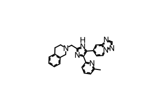 Cc1cccc(-c2nc(CN3CCc4ccccc4C3)[nH]c2-c2ccn3ncnc3c2)n1